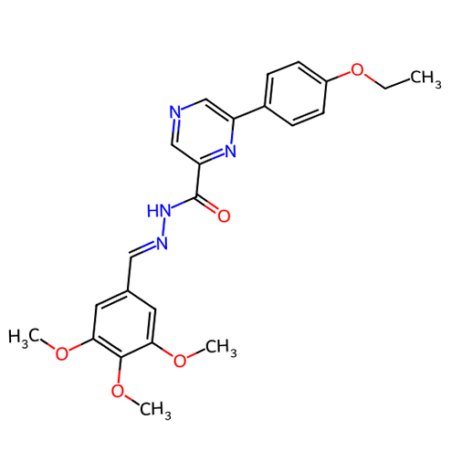 CCOc1ccc(-c2cncc(C(=O)NN=Cc3cc(OC)c(OC)c(OC)c3)n2)cc1